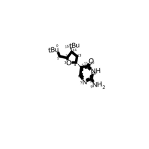 CC(C)(C)CC1O[C@@H](c2cnc(N)[nH]c2=O)C[C@H]1C(C)(C)C